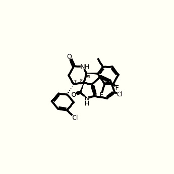 Cc1ccc(F)c(F)c1[C@@H]1NC(=O)C[C@@H](C2C=CC=C(Cl)C2)[C@]12C(=O)Nc1cc(Cl)ccc12